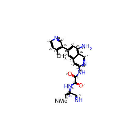 CN/C=C(\C=N)NC(=O)C(=O)Nc1cc2cc(-c3cnccc3C)cc(N)c2cn1